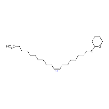 O=C(O)CCCCCCCCC/C=C\CCCCCCCOC1CCCCO1